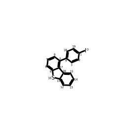 Ic1ccc(-c2cccc3sc4ccccc4c23)cc1